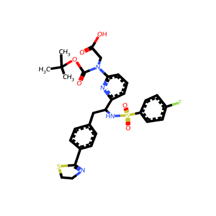 CC(C)(C)OC(=O)N(CC(=O)O)c1cccc(C(Cc2ccc(C3=NCCS3)cc2)NS(=O)(=O)c2ccc(F)cc2)n1